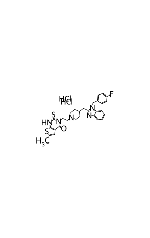 Cc1cc2c(=O)n(CCN3CCC(Cc4nc5ccccc5n4Cc4ccc(F)cc4)CC3)c(=S)[nH]c2s1.Cl.Cl